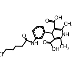 CC1=C(C(=O)O)C(c2cccc(NC(=O)CCCCCl)c2)C(C(=O)O)=C(C)N1